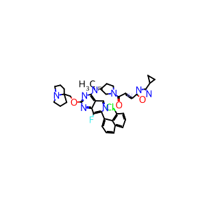 CN(c1nc(OCC23CCCN2CCC3)nc2c(F)c(-c3cccc4cccc(Cl)c34)ncc12)[C@@H]1CCN(C(=O)/C=C/c2nc(C3CC3)no2)C1